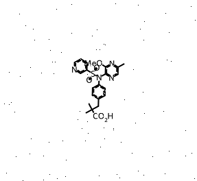 COc1nc(C)cnc1N(c1ccc(CC(C)(C)C(=O)O)cc1)S(=O)(=O)c1cccnc1